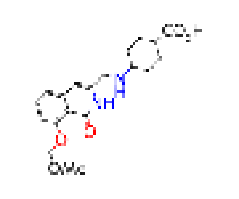 COCOc1cccc2cc(CNC3CCC(C(=O)O)CC3)[nH]c(=O)c12